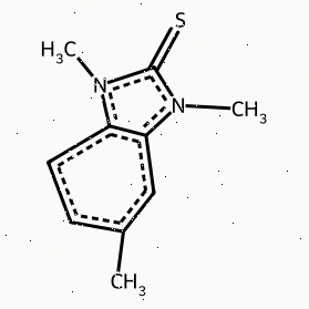 Cc1ccc2c(c1)n(C)c(=S)n2C